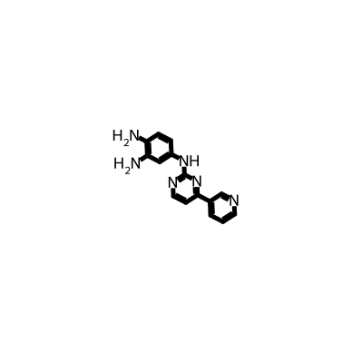 Nc1ccc(Nc2nccc(-c3cccnc3)n2)cc1N